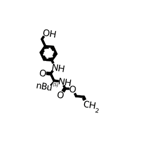 C=CCOC(=O)N[C@@H](CCCC)C(=O)Nc1ccc(CO)cc1